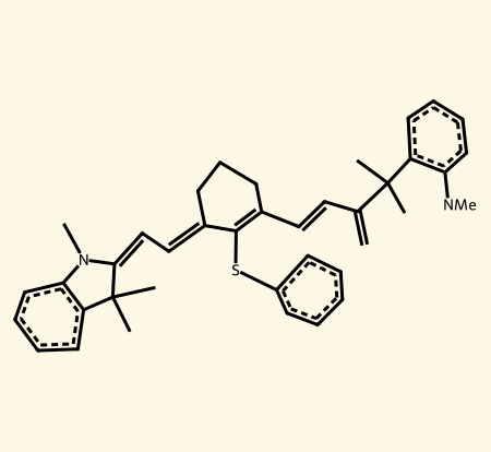 C=C(/C=C/C1=C(Sc2ccccc2)C(=C/C=C2/N(C)c3ccccc3C2(C)C)/CCC1)C(C)(C)c1ccccc1NC